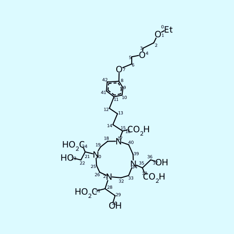 CCOCCOCCOc1ccc(CCCC(C(=O)O)N2CCN(C(CO)C(=O)O)CCN(C(CO)C(=O)O)CCN(C(CO)C(=O)O)CC2)cc1